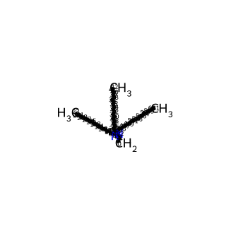 [CH2]CCc1nc(CCCCCCCCCCCCCCCCCC)c(CCCCCCCCCCCCCCCCCC)c(CCCCCCCCCCCCCCCCCC)n1